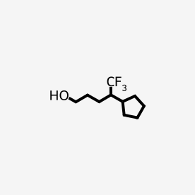 OCCCC(C1CCCC1)C(F)(F)F